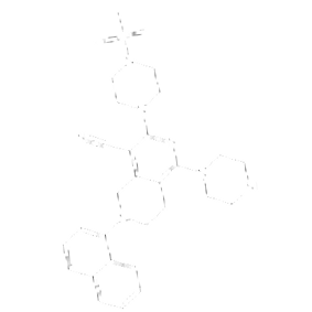 CS(=O)(=O)N1CCN(c2nc(N3CCNCC3)c3c(c2C#N)CN(c2cccc4ccccc24)CC3)CC1